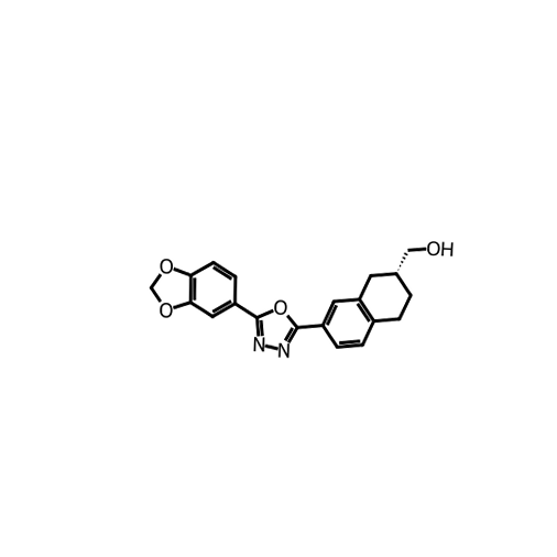 OC[C@@H]1CCc2ccc(-c3nnc(-c4ccc5c(c4)OCO5)o3)cc2C1